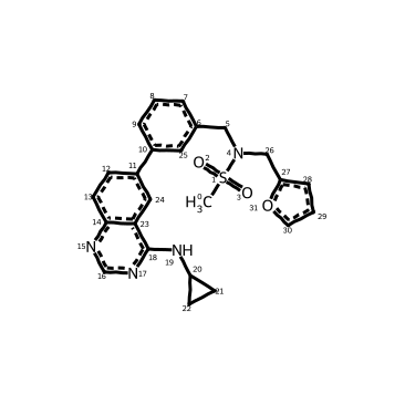 CS(=O)(=O)N(Cc1cccc(-c2ccc3ncnc(NC4CC4)c3c2)c1)Cc1ccco1